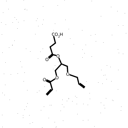 C=CCOCC(COC(=O)C=C)OC(=O)CCC(=O)O